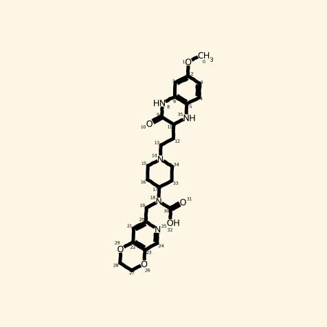 COc1ccc2c(c1)NC(=O)C(CCN1CCC(N(Cc3cc4c(cn3)OCCO4)C(=O)O)CC1)N2